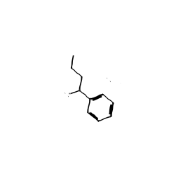 CCCC(N)c1ccccc1.N